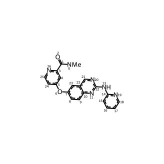 CNC(=O)c1cc(Oc2ccc3nc(Nc4ccccn4)ncc3c2)ccn1